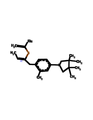 C=C(S/C(=C\C)Cc1ccc(B2CC(C)(C)C(C)(C)C2)cc1C)C(C)(C)C